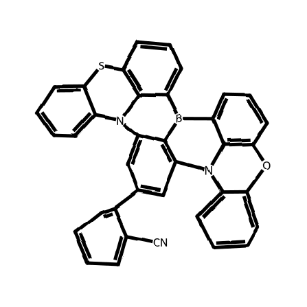 N#Cc1ccccc1-c1cc2c3c(c1)N1c4ccccc4Sc4cccc(c41)B3c1cccc3c1N2c1ccccc1O3